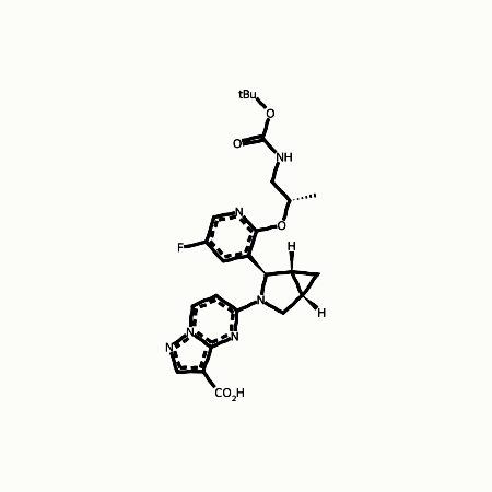 C[C@@H](CNC(=O)OC(C)(C)C)Oc1ncc(F)cc1[C@H]1[C@@H]2C[C@@H]2CN1c1ccn2ncc(C(=O)O)c2n1